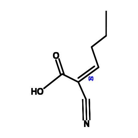 CCC/C=C(/C#N)C(=O)O